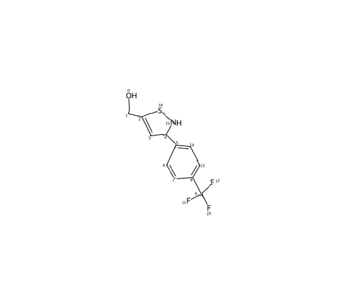 OCC1=CC(c2ccc(C(F)(F)F)cc2)NS1